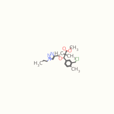 CCCn1cc(CO[C@H](c2ccc(C)c(CCl)c2)C(C)(C)C(=O)OC)nn1